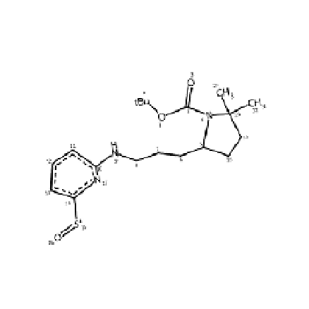 CC(C)(C)OC(=O)N1C(CCCNc2cccc([S+]=O)n2)CCC1(C)C